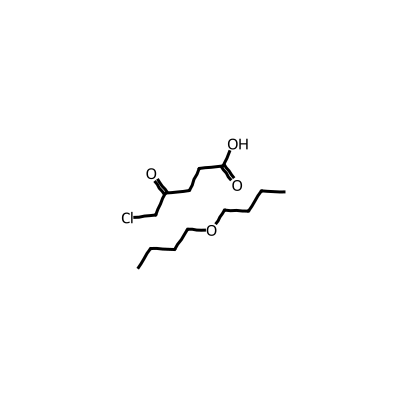 CCCCOCCCC.O=C(O)CCC(=O)CCl